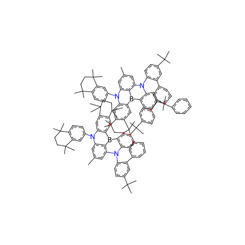 Cc1cc2c3c(c1)N(c1ccc(C(C)(C)C)cc1-c1ccccc1)c1ccc(C(C)(C)c4ccc(-c5cccc(-c6cc(C(C)(C)C)ccc6N6c7cc(C(C)(C)c8ccccc8)ccc7B7c8cc9c(cc8N(c8ccc%10c(c8)C(C)(C)CCC%10(C)C)c8cc(C)cc6c87)C(C)(C)CCC9(C)C)c5)cc4)cc1B3c1cc3c(cc1N2c1ccc2c(c1)C(C)(C)CCC2(C)C)C(C)(C)CCC3(C)C